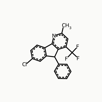 Cc1cc(C(F)(F)F)c2c(n1)-c1ccc(Cl)cc1C2c1ccccc1